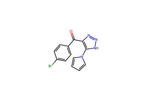 O=C(c1ccc(Br)cc1)c1nn[nH]c1-n1cccc1